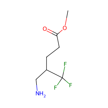 COC(=O)CCC(CN)C(F)(F)F